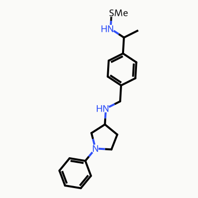 CSNC(C)c1ccc(CNC2CCN(c3ccccc3)C2)cc1